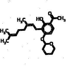 CC(=O)c1ccc(OC2CCCCO2)c(CC=C(C)CCC=C(C)C)c1O